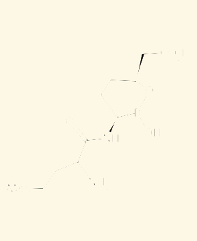 CSCCC(N)C(=O)N[C@H]1CC[C@@H](CC(=O)O)OB1O